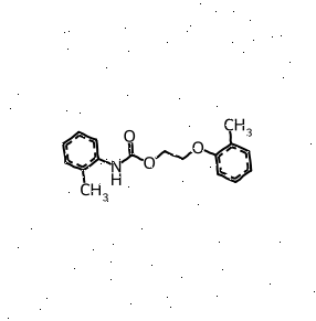 Cc1ccccc1NC(=O)OCCOc1ccccc1C